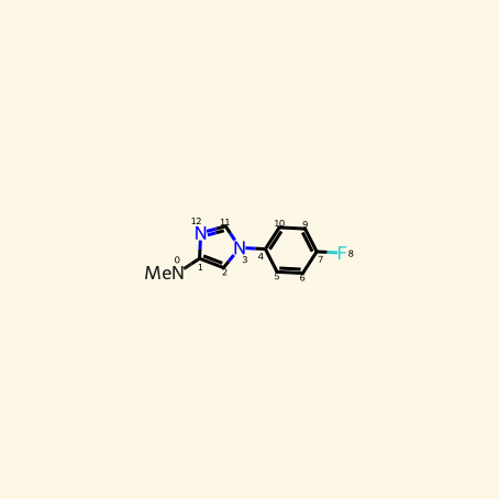 CNc1cn(-c2ccc(F)cc2)cn1